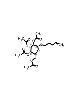 C=CCCCS[C@H]1O[C@H](COC(C)=O)[C@H](OC(C)=O)[C@H](OC(C)=O)[C@H]1OC(C)=O